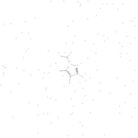 Cc1nn(C(C)O)c(N)c1N